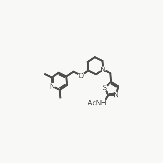 CC(=O)Nc1ncc(CN2CCCC(OCc3cc(C)nc(C)c3)C2)s1